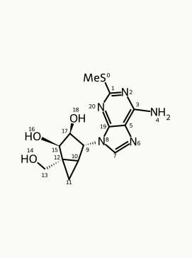 CSc1nc(N)c2ncn([C@@H]3C4C[C@@]4(CO)[C@@H](O)[C@H]3O)c2n1